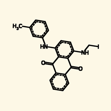 Cc1cccc(Nc2ccc(NCI)c3c2C(=O)c2ccccc2C3=O)c1